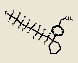 CCc1ccc(C2(C(F)(F)C(F)(F)C(F)(F)C(F)(F)C(F)(F)C(F)(F)C(F)(F)C(F)(F)F)CCCCC2)cc1